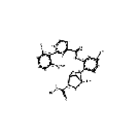 CCCNC(=O)N1C[C@H]2CC1CN2c1ccc(F)cc1NC(=O)c1ccnc(-c2c(F)cccc2OC)n1